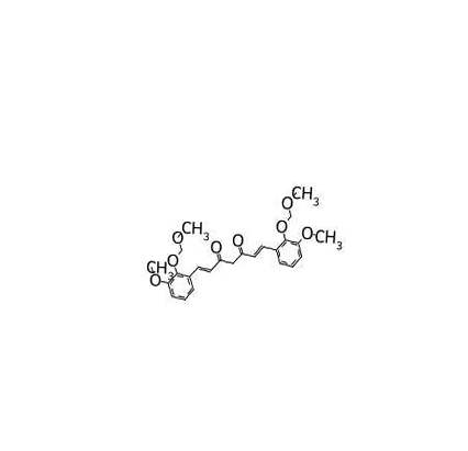 COCOc1c(C=CC(=O)CC(=O)C=Cc2cccc(OC)c2OCOC)cccc1OC